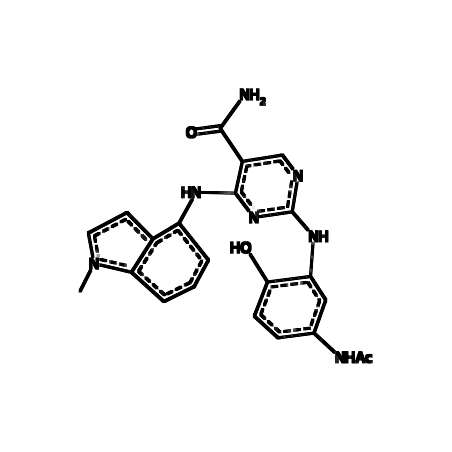 CC(=O)Nc1ccc(O)c(Nc2ncc(C(N)=O)c(Nc3cccc4c3ccn4C)n2)c1